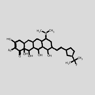 CC(=O)C1=C(O)CC2CC3CC4C(C(O)C(CCC5CCC(C(C)(C)F)C5)CC4N(C)C)C(O)C3C(O)C2(O)C1=O